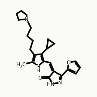 Cc1[nH]c(C=C2C(=O)NN=C2c2ccco2)c(C2CC2)c1CCCCN1CCCC1